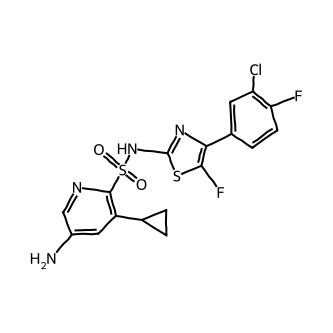 Nc1cnc(S(=O)(=O)Nc2nc(-c3ccc(F)c(Cl)c3)c(F)s2)c(C2CC2)c1